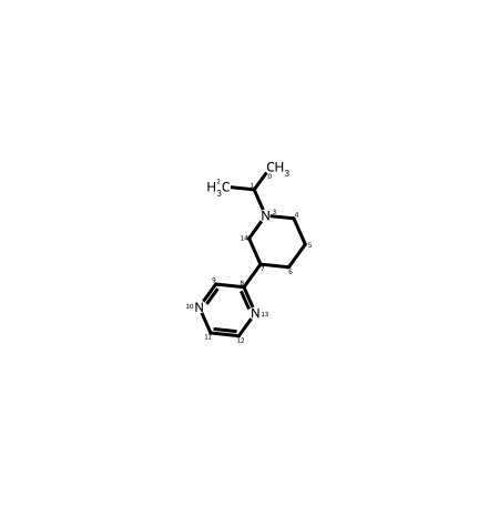 CC(C)N1CCCC(c2cnccn2)C1